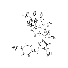 CC1CCN(Cc2cc(C(=O)N3CC[C@H]4[C@H]3[C@@H](C(C)C)C(=O)N4S(C)(=O)=O)nn2C)CC1.Cl